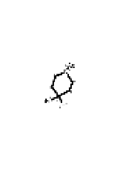 CCC1(C(C)C)CCN(C(C)=O)CC1